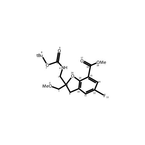 COCC1(CNC(=O)OC(C)(C)C)Cc2cc(F)cc(C(=O)OC)c2O1